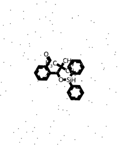 CC(C)(C)C(O[SiH](c1ccccc1)c1ccccc1)c1ccccc1C=O